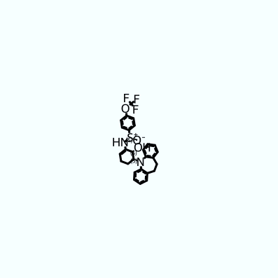 [O-][S@@+](NC1=CCC[C@H](N2c3ccccc3CCc3ccccc32)[C@@H]1O)c1ccc(OC(F)(F)F)cc1